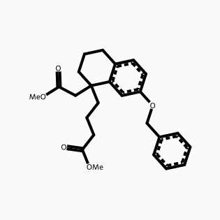 COC(=O)CCCC1(CC(=O)OC)CCCc2ccc(OCc3ccccc3)cc21